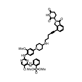 COc1cc(N2CCC(NCCCC#Cc3cccc4c3CN(C3CCC(=O)NC3=O)C4=O)CC2)ccc1Nc1ncc(Cl)c(Nc2ccccc2P(=O)(OC)OC)n1